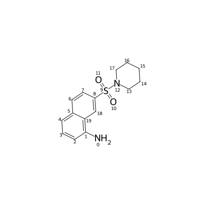 Nc1cccc2ccc(S(=O)(=O)N3CCCCC3)cc12